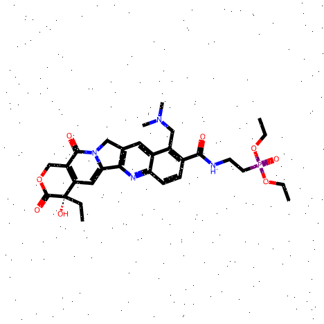 CCOP(=O)(CCNC(=O)c1ccc2nc3c(cc2c1CN(C)C)Cn1c-3cc2c(c1=O)COC(=O)[C@]2(O)CC)OCC